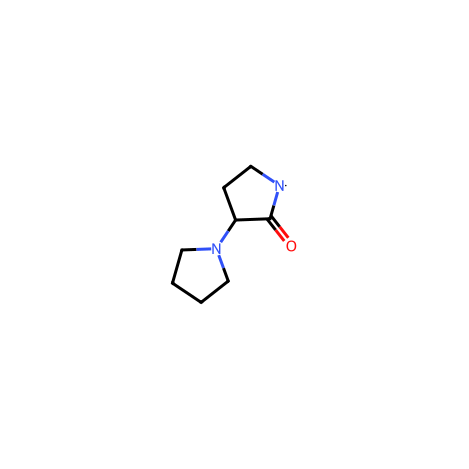 O=C1[N]CCC1N1CCCC1